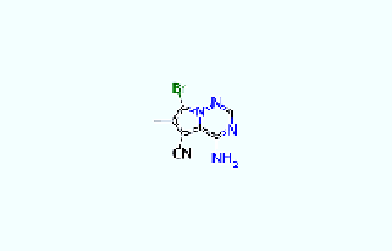 Cc1c(C#N)c2c(N)ncnn2c1Br